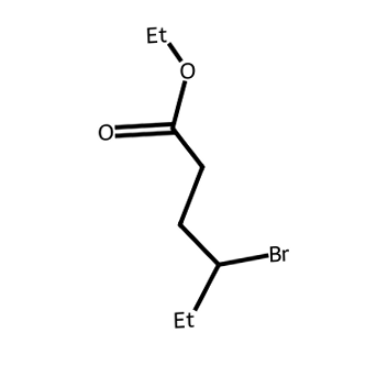 CCOC(=O)CCC(Br)CC